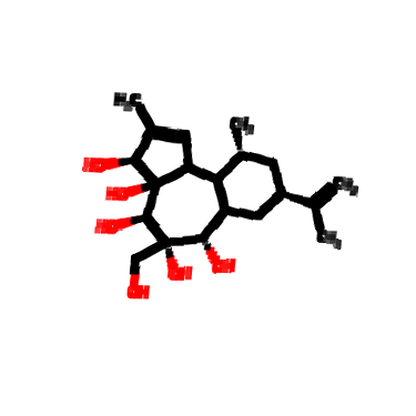 C=C(C)[C@H]1CC2C(C3C=C(C)[C@H](O)[C@@]3(O)[C@H](O)[C@](O)(CO)[C@H]2O)[C@H](C)C1